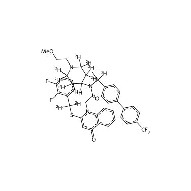 [2H]C([2H])(Sc1cc(=O)c2ccccc2n1CC(=O)N(C([2H])(C)c1ccc(-c2ccc(C(F)(F)F)cc2)cc1)C1([2H])C([2H])([2H])C([2H])([2H])N(CCOC)C([2H])([2H])C1([2H])[2H])c1cccc(F)c1F